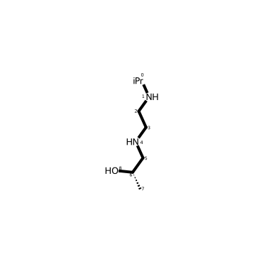 CC(C)NCCNC[C@H](C)O